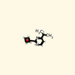 CC(C)c1ccnc(N2CC3CC2C3)n1